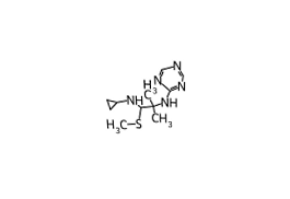 CSC(NC1CC1)C(C)(C)Nc1ncncn1